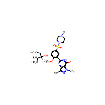 CCCc1nn(C)c2c(=O)[nH]c(-c3cc(S(=O)(=O)N4CCN(C)CC4)ccc3OCC)nc12.O=C(O)CC(O)(CC(=O)O)C(=O)O.[LiH]